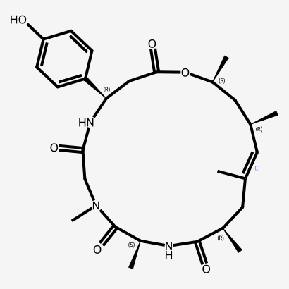 C/C1=C\[C@H](C)C[C@H](C)OC(=O)C[C@H](c2ccc(O)cc2)NC(=O)CN(C)C(=O)[C@H](C)NC(=O)[C@H](C)C1